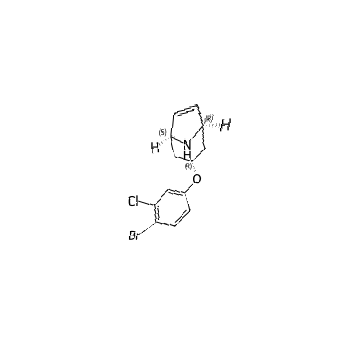 Clc1cc(O[C@@H]2C[C@H]3C=C[C@@H](C2)N3)ccc1Br